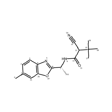 Cc1ccc2nc([C@@H](C)NC(=O)C(C#N)C(C)(C)C)oc2c1